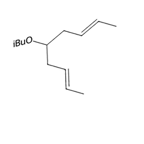 CC=CCC(CC=CC)OCC(C)C